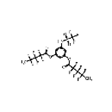 CC(F)(F)C(F)(F)C(F)(F)C(=O)Oc1cc(NS(=O)(=O)C(F)(F)F)cc(OC(=O)C(F)(F)C(F)(F)C(C)(F)F)c1